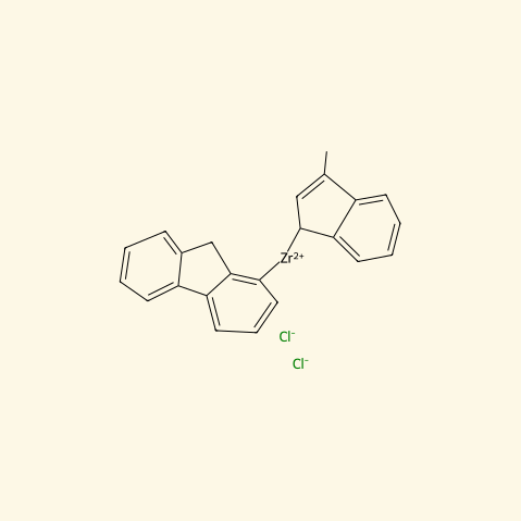 CC1=C[CH]([Zr+2][c]2cccc3c2Cc2ccccc2-3)c2ccccc21.[Cl-].[Cl-]